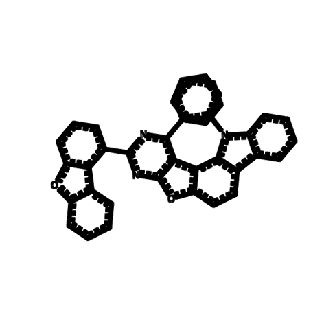 c1ccc(-c2nc(-c3cccc4oc5ccccc5c34)nc3oc4ccc5c6ccccc6n(-c6ccccc6)c5c4c23)cc1